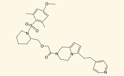 COc1cc(C)c(S(=O)(=O)N2CCCCC2COCC(=O)N2CCn3c(CCc4ccncc4)ccc3C2)c(C)c1